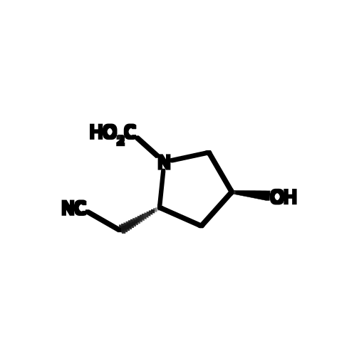 N#CC[C@H]1C[C@H](O)CN1C(=O)O